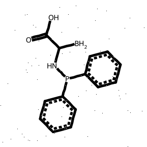 BC(NP(c1ccccc1)c1ccccc1)C(=O)O